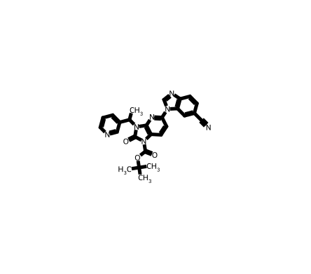 CC(c1cccnc1)n1c(=O)n(C(=O)OC(C)(C)C)c2ccc(-n3cnc4ccc(C#N)cc43)nc21